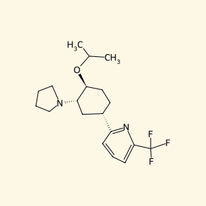 CC(C)O[C@H]1CC[C@H](c2cccc(C(F)(F)F)n2)C[C@@H]1N1CCCC1